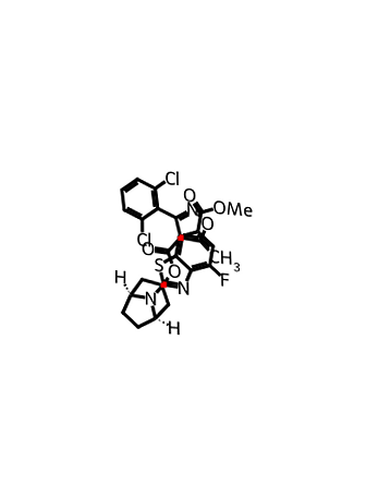 COC(=O)c1cc(F)c2nc(N3[C@@H]4CC[C@H]3CC(OC(=O)c3c(-c5c(Cl)cccc5Cl)noc3C)C4)sc2c1